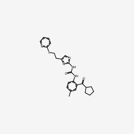 Cc1ccc(NC(=O)Nc2nc(CCSc3ccccn3)cs2)c(C(=O)C2CCCC2)c1